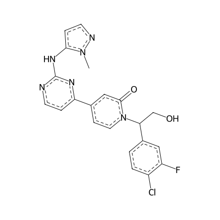 Cn1nccc1Nc1nccc(-c2ccn(C(CO)c3ccc(Cl)c(F)c3)c(=O)c2)n1